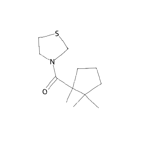 CC1(C)CCCC1(C)C(=O)N1CCSC1